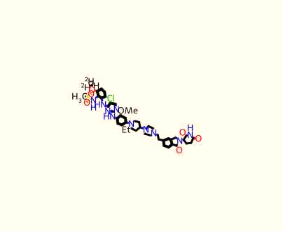 [2H]C([2H])([2H])Oc1cccc(Nc2nc(Nc3cc(CC)c(N4CCC(N5CCN(CCc6ccc7c(c6)CN(C6CCC(=O)NC6=O)C7=O)CC5)CC4)cc3OC)ncc2Cl)c1NS(C)(=O)=O